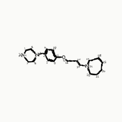 c1cc(N2CCNCC2)ccc1OCCCN1CCCCCC1